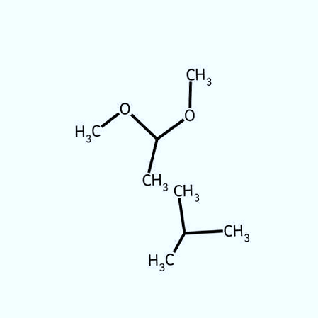 CC(C)C.COC(C)OC